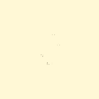 [O]c1ccccc1-c1occc1-c1ncc[nH]1